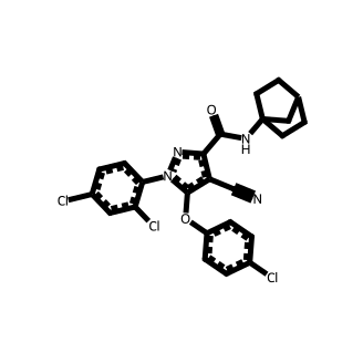 N#Cc1c(C(=O)NC23CCC(CC2)C3)nn(-c2ccc(Cl)cc2Cl)c1Oc1ccc(Cl)cc1